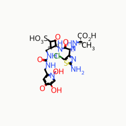 C[C@H](N/N=C(\C(=O)N[C@@H]1C(=O)C(S(=O)(=O)O)[C@@H]1CNC(=O)NCc1cc(=O)c(O)cn1O)c1nc(N)sc1Cl)C(=O)O